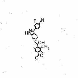 Cc1c([C@@H](O)CN2CCc3c(-c4ccc(C#N)c(F)c4)n[nH]c3C2)ccc2c1COC2=O